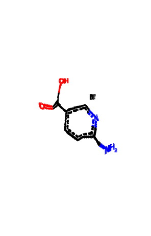 Nc1ccc(C(=O)O)cn1.[Bi]